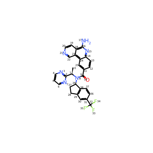 C[C@H](c1ncccn1)N(C(=O)c1ccc2nc(N)c3ccncc3c2c1)[C@@H]1CCc2cc(C(F)(F)F)ccc21